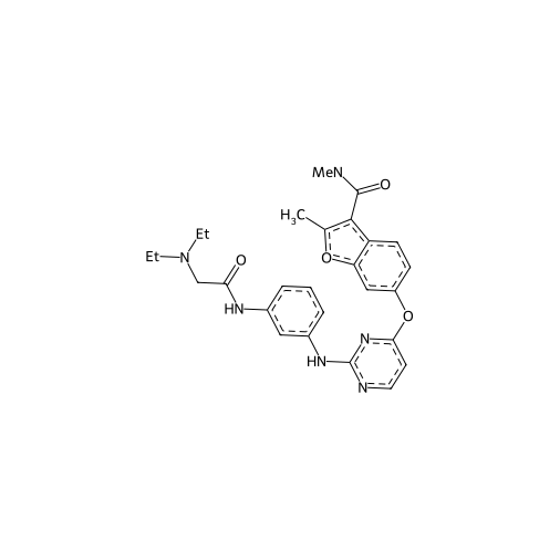 CCN(CC)CC(=O)Nc1cccc(Nc2nccc(Oc3ccc4c(C(=O)NC)c(C)oc4c3)n2)c1